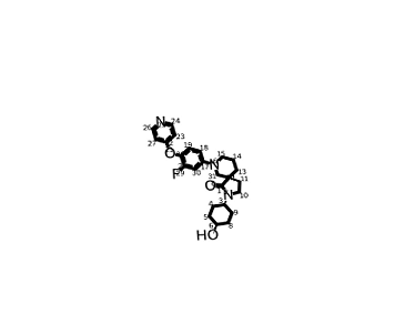 O=C1N([C@H]2CC[C@H](O)CC2)CC[C@@]12CCCN(c1ccc(Oc3ccncc3)c(F)c1)C2